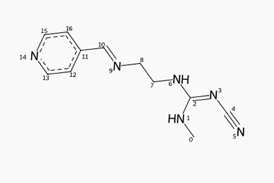 CN/C(=N\C#N)NCC/N=C/c1ccncc1